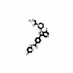 C=CC(=O)N1CCC[C@@H](n2nc(-c3ccc(C(=O)Nc4ccc(F)cn4)cc3)c3cncc(F)c32)C1